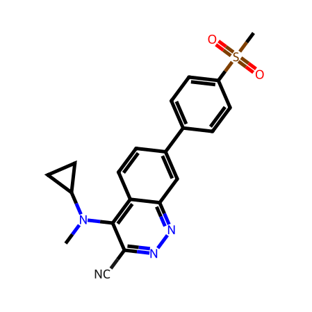 CN(c1c(C#N)nnc2cc(-c3ccc(S(C)(=O)=O)cc3)ccc12)C1CC1